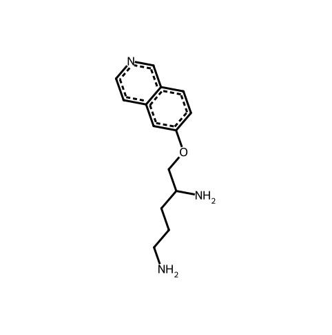 NCCCC(N)COc1ccc2cnccc2c1